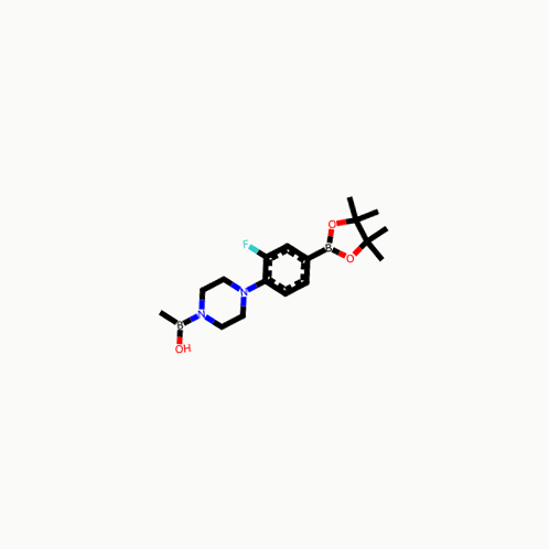 CB(O)N1CCN(c2ccc(B3OC(C)(C)C(C)(C)O3)cc2F)CC1